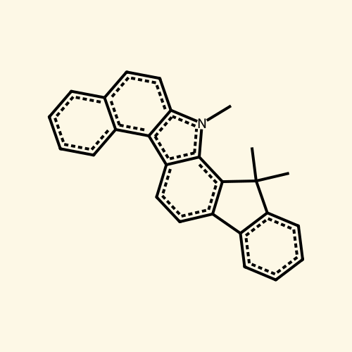 Cn1c2ccc3ccccc3c2c2ccc3c(c21)C(C)(C)c1ccccc1-3